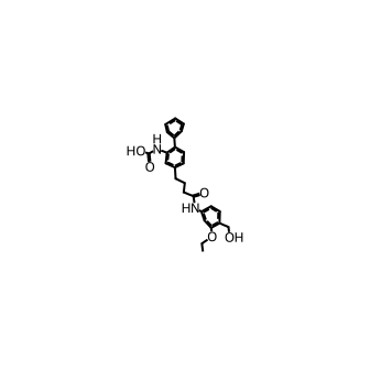 CCOc1cc(NC(=O)CCCc2ccc(-c3ccccc3)c(NC(=O)O)c2)ccc1CO